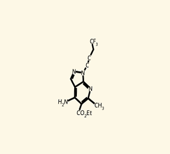 CCOC(=O)c1c(C)nc2c(cnn2CCCC(F)(F)F)c1N